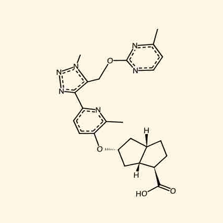 Cc1ccnc(OCc2c(-c3ccc(O[C@@H]4C[C@@H]5CC[C@@H](C(=O)O)[C@@H]5C4)c(C)n3)nnn2C)n1